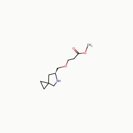 COC(=O)CCOC[C@@H]1CC2(CC2)CN1